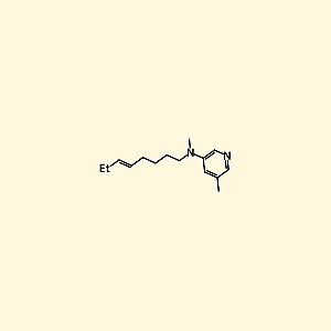 CCC=CCCCCN(C)c1cncc(C)c1